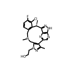 Cc1nn(CCO)c2c1-c1cnc3[nH]nc(c3n1)[C@H](C)c1c(ccc(F)c1Cl)CN(C)C2